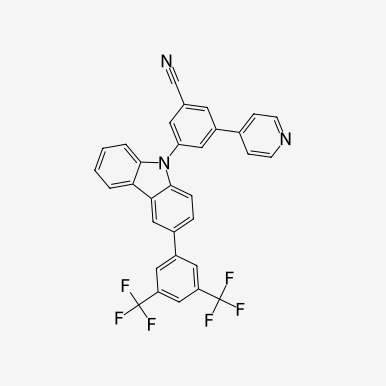 N#Cc1cc(-c2ccncc2)cc(-n2c3ccccc3c3cc(-c4cc(C(F)(F)F)cc(C(F)(F)F)c4)ccc32)c1